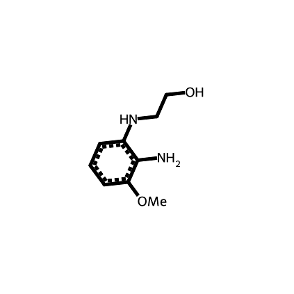 COc1cccc(NCCO)c1N